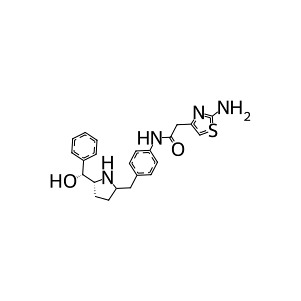 Nc1nc(CC(=O)Nc2ccc(CC3CC[C@H]([C@H](O)c4ccccc4)N3)cc2)cs1